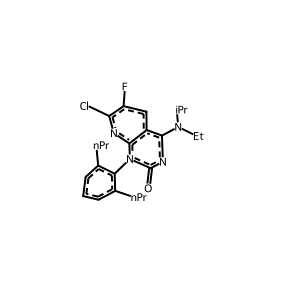 CCCc1cccc(CCC)c1-n1c(=O)nc(N(CC)C(C)C)c2cc(F)c(Cl)nc21